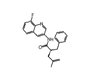 C=C(C)C[C@H](Cc1ccccc1)C(=O)Nc1cnc2c(F)cccc2c1